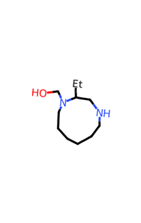 CCC1CNCCCCCCN1CO